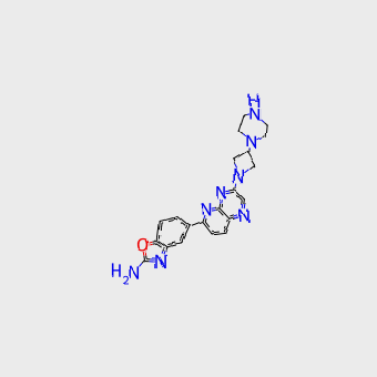 Nc1nc2cc(-c3ccc4ncc(N5CC(N6CCNCC6)C5)nc4n3)ccc2o1